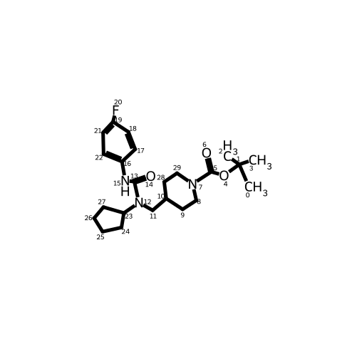 CC(C)(C)OC(=O)N1CCC(CN(C(=O)Nc2ccc(F)cc2)C2CCCC2)CC1